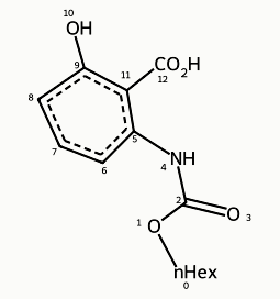 CCCCCCOC(=O)Nc1cccc(O)c1C(=O)O